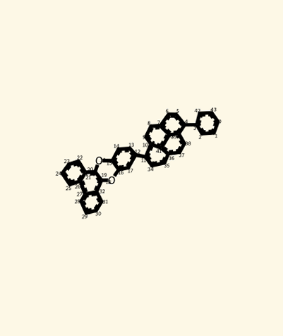 c1ccc(-c2ccc3ccc4c(-c5ccc6c(c5)Oc5c(c7ccccc7c7ccccc57)O6)ccc5ccc2c3c54)cc1